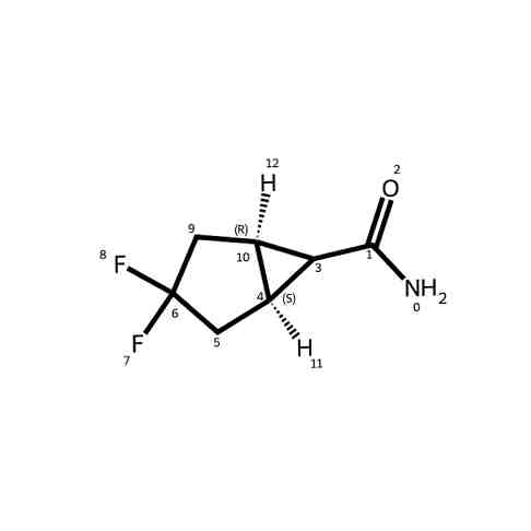 NC(=O)C1[C@H]2CC(F)(F)C[C@@H]12